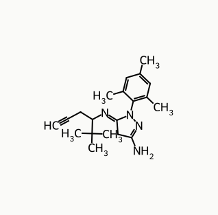 C#CCC(/N=C1\CC(N)=NN1c1c(C)cc(C)cc1C)C(C)(C)C